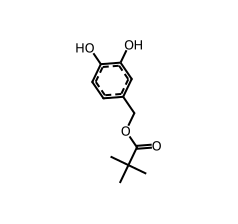 CC(C)(C)C(=O)OCc1ccc(O)c(O)c1